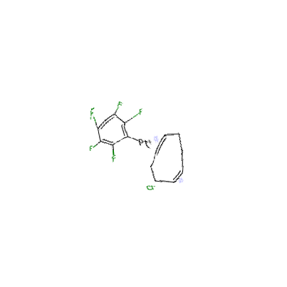 C1=C\CC/C=C\CC/1.Fc1c(F)c(F)[c]([Pt+])c(F)c1F.[Cl-]